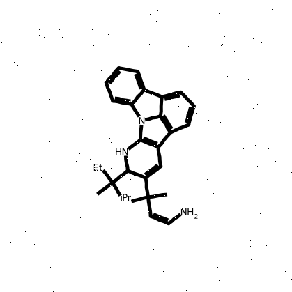 CCC(C)(C(C)C)C1Nc2c(c3cccc4c5ccccc5n2c34)C=C1C(C)(C)/C=C\N